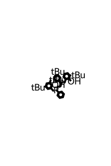 CC(C)(C)c1cc(CP(CC[P@](Cc2cc(C(C)(C)C)cc(C(C)(C)C)c2O)c2ccccc2)c2ccccc2)c(O)c(C(C)(C)C)c1